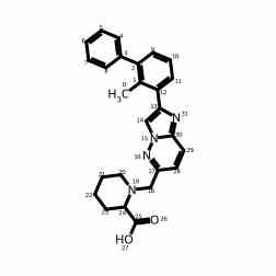 Cc1c(-c2ccccc2)cccc1-c1cn2nc(CN3CCCCC3C(=O)O)ccc2n1